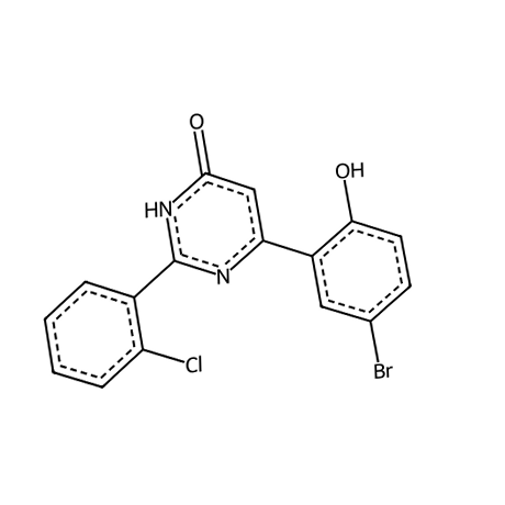 O=c1cc(-c2cc(Br)ccc2O)nc(-c2ccccc2Cl)[nH]1